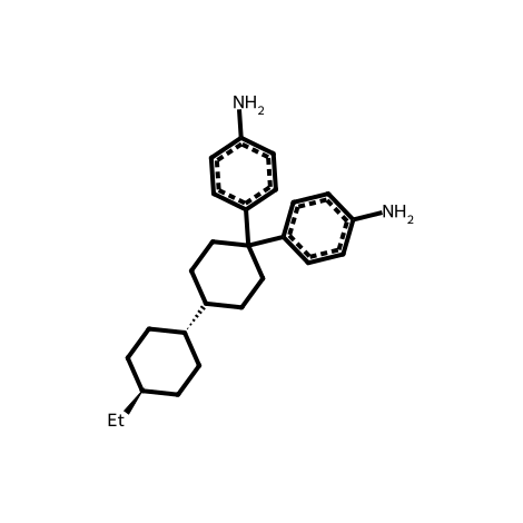 CC[C@H]1CC[C@H](C2CCC(c3ccc(N)cc3)(c3ccc(N)cc3)CC2)CC1